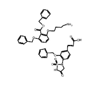 NCCCCOc1cccc(OCc2ccccc2)c1C(=O)OCc1ccccc1.O=C(O)C=Cc1ccc(N2CC(=O)NS2(=O)=O)c(OCc2ccccc2)c1